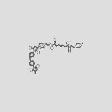 CC1CC(=O)N(c2ccc(Cc3ccc(N4C(=O)CC(N5CCN(CCNC(=O)C(C#N)CCC=CCC(=O)NCCN6CCN(C)CC6)CC5)C4=O)cc3)cc2)C1=O